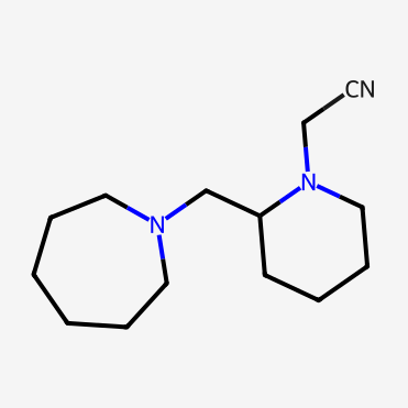 N#CCN1CCCCC1CN1CCCCCC1